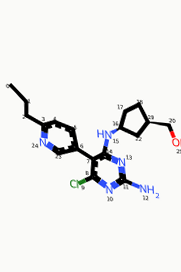 CCCc1ccc(-c2c(Cl)nc(N)nc2N[C@H]2CC[C@@H](CO)C2)cn1